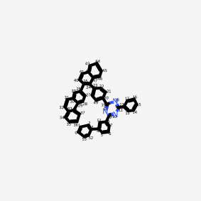 c1ccc(-c2cccc(-c3nc(-c4ccccc4)nc(-c4ccc(-c5c(-c6ccc7c(ccc8ccccc87)c6)ccc6ccccc56)cc4)n3)c2)cc1